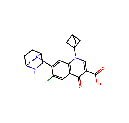 O=C(O)c1cn(C23CC(C2)C3)c2cc(N3CC4CCC3CN4)c(F)cc2c1=O